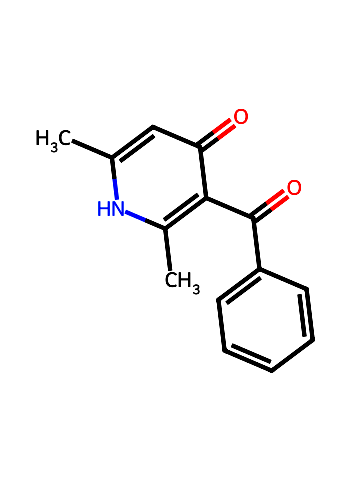 Cc1cc(=O)c(C(=O)c2ccccc2)c(C)[nH]1